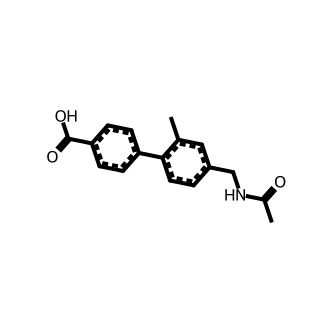 CC(=O)NCc1ccc(-c2ccc(C(=O)O)cc2)c(C)c1